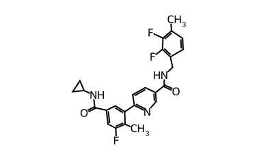 Cc1ccc(CNC(=O)c2ccc(-c3cc(C(=O)NC4CC4)cc(F)c3C)nc2)c(F)c1F